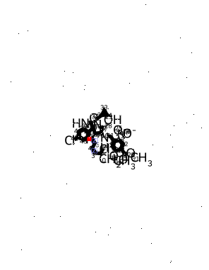 C=C(Cl)/C=C\C=C(/F)[C@@H]1[C@@H](NCc2cc(OC)c(C(=O)OC)cc2[N+](=O)[O-])[C@@H](CO)N(CC2CC2)[C@]12C(=O)Nc1cc(Cl)ccc12